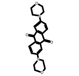 O=C1c2ccc(N3CCOCC3)cc2C(=O)c2ccc(N3CCOCC3)cc21